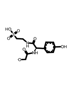 [O]CC(=O)N[C@@H](C(=O)NCCS(=O)(=O)O)c1ccc(O)cc1